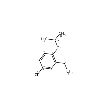 CCc1cc(Cl)ccc1OC(C)C